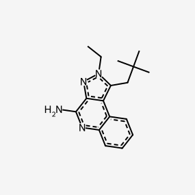 CCn1nc2c(N)nc3ccccc3c2c1CC(C)(C)C